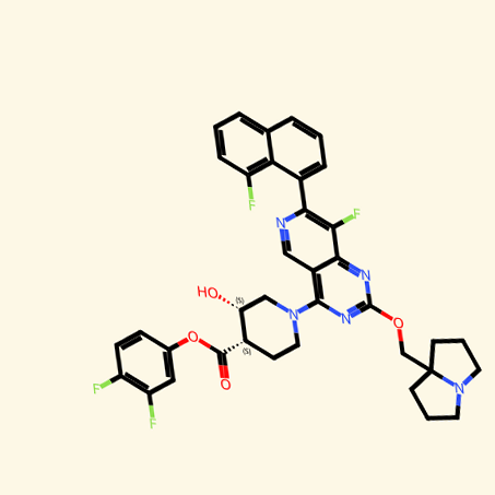 O=C(Oc1ccc(F)c(F)c1)[C@H]1CCN(c2nc(OCC34CCCN3CCC4)nc3c(F)c(-c4cccc5cccc(F)c45)ncc23)C[C@H]1O